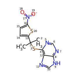 CC(C)(Sc1ncnc2[nH]cnc12)c1ccc([N+](=O)[O-])s1